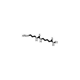 CCCCCCCCCCCCNC(=S)NCCCCC(=S)NCC